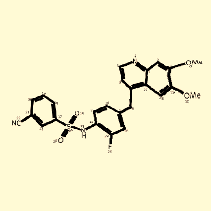 COc1cc2nccc(Cc3ccc(NS(=O)(=O)c4cccc(C#N)c4)c(F)c3)c2cc1OC